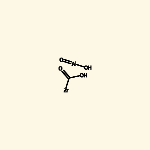 O=[C](O)[Zr].[O]=[Al][OH]